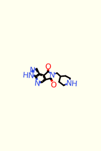 O=C1c2cnc3[nH]ncc3c2C(=O)N1CC1CCNCC1